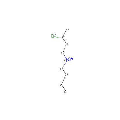 CCCCNCCC(C)Cl